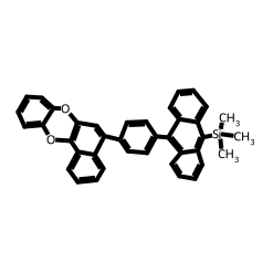 C[Si](C)(C)c1c2ccccc2c(-c2ccc(-c3cc4c(c5ccccc35)Oc3ccccc3O4)cc2)c2ccccc12